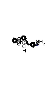 Cl.N/N=C\c1ccc(CCSc2ccccc2NS(=O)(=O)c2ccccc2)cc1